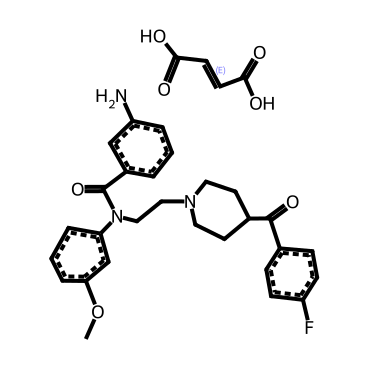 COc1cccc(N(CCN2CCC(C(=O)c3ccc(F)cc3)CC2)C(=O)c2cccc(N)c2)c1.O=C(O)/C=C/C(=O)O